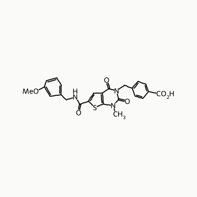 COc1cccc(CNC(=O)c2cc3c(=O)n(Cc4ccc(C(=O)O)cc4)c(=O)n(C)c3s2)c1